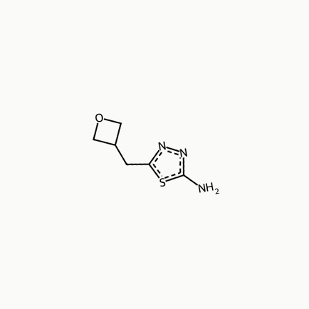 Nc1nnc(CC2COC2)s1